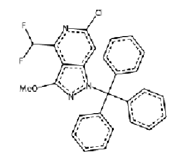 COc1nn(C(c2ccccc2)(c2ccccc2)c2ccccc2)c2cc(Cl)nc(C(F)F)c12